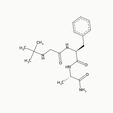 C[C@H](NC(=O)[C@H](Cc1ccccc1)NC(=O)CNC(C)(C)C)C(N)=O